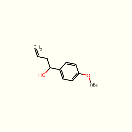 C=CCC(O)c1ccc(OCCCC)cc1